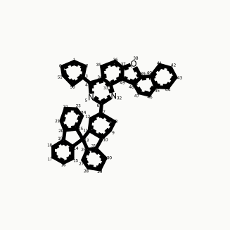 c1ccc(-c2nc(-c3ccc4c(c3)C3(c5ccccc5-c5ccccc53)c3ccccc3-4)nc3c2ccc2oc4c5ccccc5ccc4c23)cc1